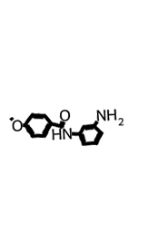 COc1ccc(C(=O)Nc2cccc(N)c2)cc1